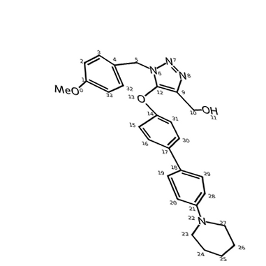 COc1ccc(Cn2nnc(CO)c2Oc2ccc(-c3ccc(N4CCCCC4)cc3)cc2)cc1